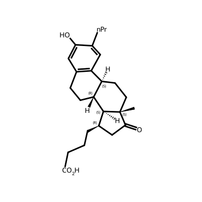 CCCc1cc2c(cc1O)CC[C@H]1[C@@H]3[C@H](CCCC(=O)O)CC(=O)[C@@]3(C)CC[C@H]21